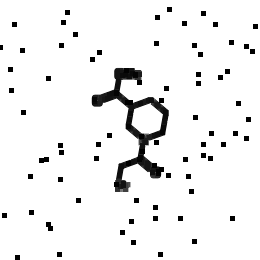 COC(=O)C1CCCN(C(=O)CC(C)C)C1